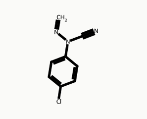 C=NN(C#N)c1ccc(Cl)cc1